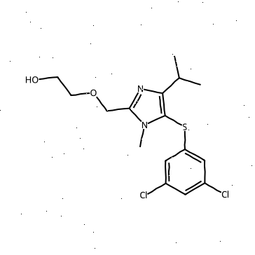 CC(C)c1nc(COCCO)n(C)c1Sc1cc(Cl)cc(Cl)c1